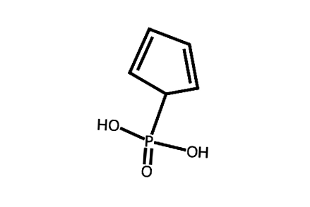 O=P(O)(O)C1C=CC=C1